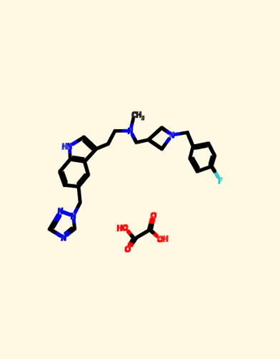 CN(CCc1c[nH]c2ccc(Cn3cncn3)cc12)CC1CN(Cc2ccc(F)cc2)C1.O=C(O)C(=O)O